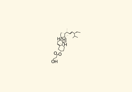 CC[C@H](/C=C/[C@@H](C)[C@H]1CC[C@H]2[C@@H]3CC=C4C[C@@H](OC(=O)CCO)CC[C@]4(C)[C@H]3CC[C@]12C)C(C)C